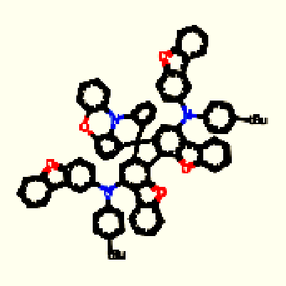 CC(C)(C)c1ccc(N(c2ccc3oc4ccccc4c3c2)c2cc3c(c4oc5ccccc5c24)-c2c(cc(N(c4ccc(C(C)(C)C)cc4)c4ccc5oc6ccccc6c5c4)c4c2oc2ccccc24)C32c3ccccc3N3c4ccccc4Oc4cccc2c43)cc1